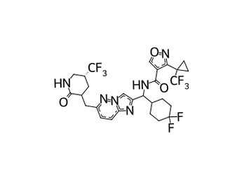 O=C(NC(c1cn2nc(CC3C[C@@H](C(F)(F)F)CNC3=O)ccc2n1)C1CCC(F)(F)CC1)c1conc1C1(C(F)(F)F)CC1